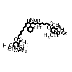 CCCCCCCCCC(CCCCCCCC(=O)OC1CC(C)(CC)N(OC(C)=O)C(C)(CC)C1C)C(CCCCCCCC(=O)OC1CC(C)(CC)N(OC(C)=O)C(C)(CC)C1C)C1CCCCC1CCC